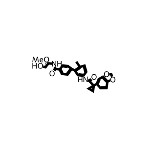 CO[C@@H](CO)NC(=O)c1ccc(-c2cc(NC(=O)C3(c4ccc5c(c4)OCO5)CC3)ccc2C)cc1